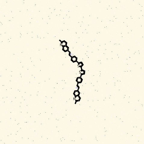 Cc1ccc2cc(/C=C/c3ccc(-c4ccc(-c5ccc(-c6ccc(/C=C/c7ccc8nc(C)ccc8c7)cc6)s5)s4)cc3)ccc2n1